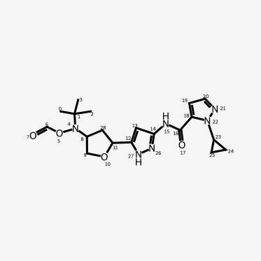 CC(C)(C)N(OC=O)C1COC(c2cc(NC(=O)c3ccnn3C3CC3)n[nH]2)C1